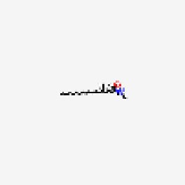 CCCCCCCCCCCCCCCCCC([SiH2]OC)[N+](C)(C)CCC